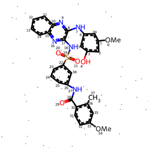 COc1cc(O)cc(Nc2nc3ccccc3nc2NS(=O)(=O)c2cccc(NC(=O)c3ccc(OC)cc3C)c2)c1